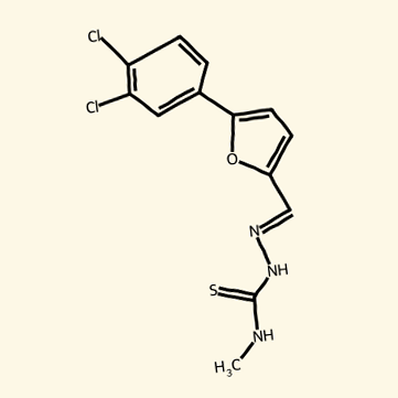 CNC(=S)NN=Cc1ccc(-c2ccc(Cl)c(Cl)c2)o1